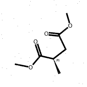 COC(=O)C[C@@H](C)C(=O)OC